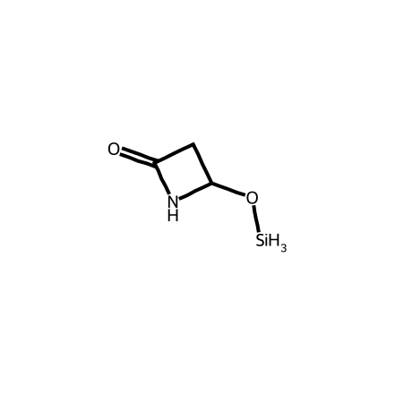 O=C1CC(O[SiH3])N1